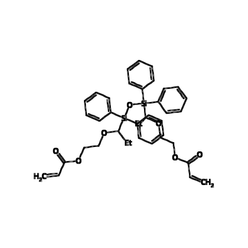 C=CC(=O)OCCOC(CC)[Si](O[Si](c1ccccc1)(c1ccccc1)C(CC)OCCOC(=O)C=C)(c1ccccc1)c1ccccc1